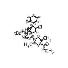 C=CC(=O)N1C[C@H](C)N(C(=NC#N)c2cc(Cl)c(-c3ccccc3F)nc2NCC(C)(C)C)C[C@H]1C